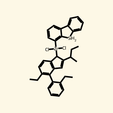 CCc1ccccc1-c1c(CC)ccc2c1C=C(C(C)CC)[CH]2[Zr]([Cl])([Cl])[c]1cccc2c1[SiH2]c1ccccc1-2